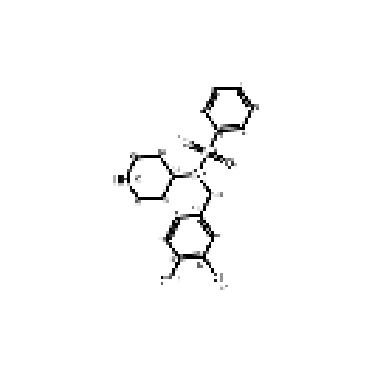 O=S(=O)(c1ccccc1)N(Cc1ccc(Cl)c(Cl)c1)C1CCNCC1